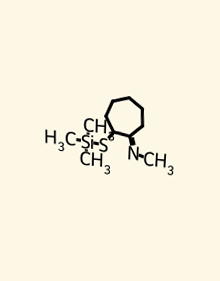 C/N=C1\CCCCCC1S[Si](C)(C)C